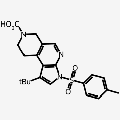 Cc1ccc(S(=O)(=O)n2cc(C(C)(C)C)c3c4c(cnc32)CN(C(=O)O)CC4)cc1